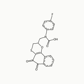 O=C1C(=O)c2ccccc2C2=C1SCC(CN(C(=O)O)c1ccc(F)cc1)O2